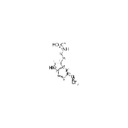 O=C(O)NCCc1c[nH]c2ccc(OC(F)(F)F)cc12